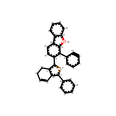 c1cccc(-c2c(-c3sc(-c4ccccc4)c4c3CCC=C4)ccc3c2oc2ccccc23)c#1